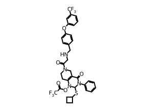 O=C(CNCc1ccc(Oc2cccc(C(F)(F)F)c2)cc1)N1CCC2=C(C1)C(=O)N(c1ccccc1)C(SC1CCC1)N2OC(=O)C(F)(F)F